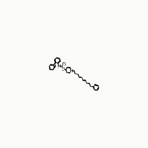 O=C(Nc1ccccc1-c1ccccc1)OC1CCN(CCCCCCCCCCc2ccccc2)CC1